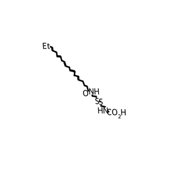 CCC=CCC=CCC=CCC=CCC=CCCCC(=O)NCCSSCCNC(=O)O